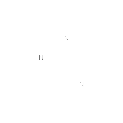 CN1CC(N(C)C)CN(C)C1